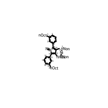 CCCCCCCC[CH2][Ni][CH2]CCCCCCCC.CCCCCCCCc1cccc(C2=C(C)C(CCCCCC)=C(c3cccc(CCCCCCCC)c3)[N+]2=[N-])c1